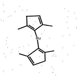 CC1=CCC(C)=[C]1[Ru][C]1=C(C)CC=C1C